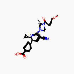 COCCC(=O)N1CCN(c2nc(C3CC3)c(-c3ccc(C(=O)O)cc3)cc2C#N)C[C@H]1C